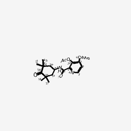 COc1ccnc(C(=O)NC2CC(C)(C)C(=O)C(C)(C)C2)c1OC(C)=O